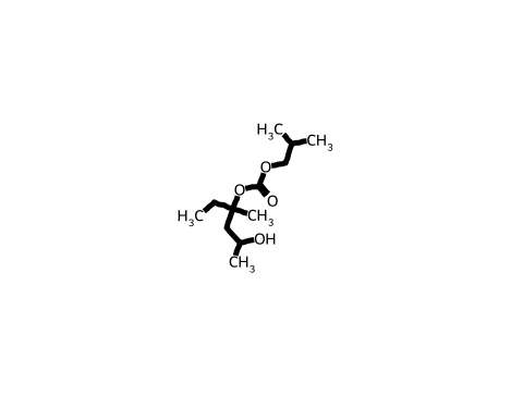 CCC(C)(CC(C)O)OC(=O)OCC(C)C